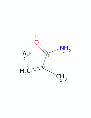 C=C(C)C(N)=O.[Au]